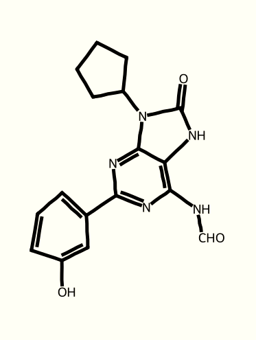 O=CNc1nc(-c2cccc(O)c2)nc2c1[nH]c(=O)n2C1CCCC1